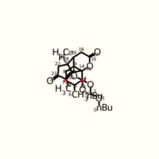 CCCCOCOC1C(C)CC[C@@]2(OCOCCCC)C13OC(=O)C[C@]2(C)[C@@H]1CC(=O)C(C)=C13